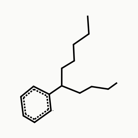 CCCCCC(CCCC)c1[c]cccc1